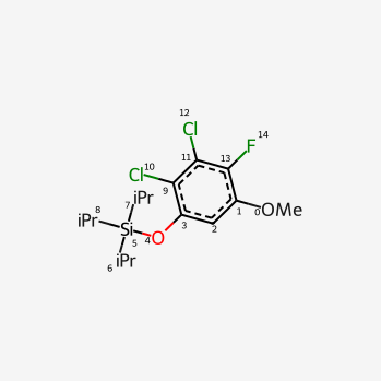 COc1cc(O[Si](C(C)C)(C(C)C)C(C)C)c(Cl)c(Cl)c1F